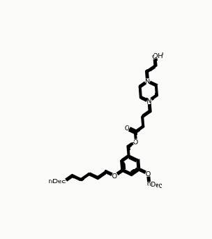 CCCCCCCCCCCCCCCOc1cc(COC(=O)CCCN2CCN(CCO)CC2)cc(OCCCCCCCCCC)c1